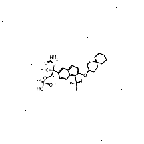 C[C@@](COP(=O)(O)O)(OC(N)=O)c1ccc2c(C(F)(F)F)c(OC3CCC4(CCCCC4)CC3)ccc2c1